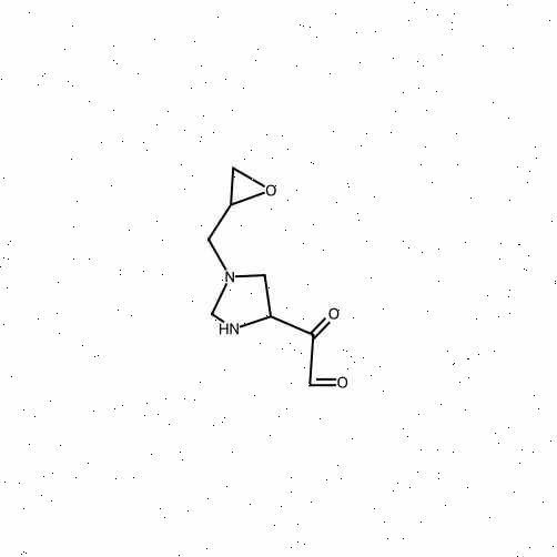 O=CC(=O)C1CN(CC2CO2)CN1